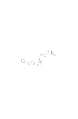 COC1C[C@@H](C[C@H]2CC[C@H](C)C([C@@H](C)C(=O)Nc3ccc(F)cc3)O2)O[C@]2(O[C@](C)(C3CC[C@@](C)(C4OC(C5O[C@@](O)(CO)[C@H](C)C[C@@H]5C)C[C@@H]4C)O3)C[C@H]2C)C1C